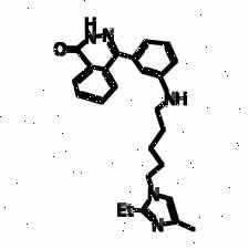 CCc1nc(C)cn1CCCCCNc1cccc(-c2n[nH]c(=O)c3ccccc23)c1